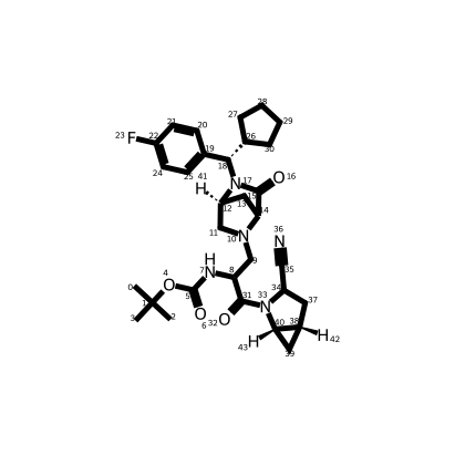 CC(C)(C)OC(=O)NC(CN1C[C@@H]2CC1C(=O)N2[C@H](c1ccc(F)cc1)C1CCCC1)C(=O)N1C(C#N)C[C@@H]2C[C@@H]21